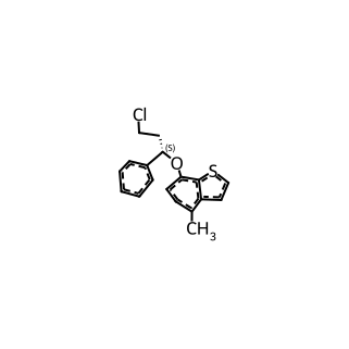 Cc1ccc(O[C@@H](CCCl)c2ccccc2)c2sccc12